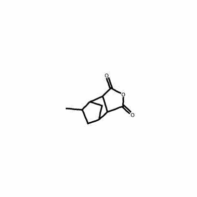 CC1CC2CC1C1C(=O)OC(=O)C21